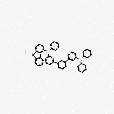 CC1(C)c2ccccc2-c2c(N(c3ccccc3)c3cccc(-c4cccc(-c5cccc(N(c6ccccc6)C6C=CC=CC6)c5)c4)c3)cccc21